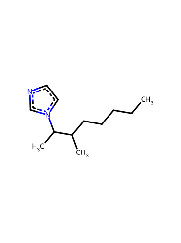 CCCCCC(C)C(C)n1ccnc1